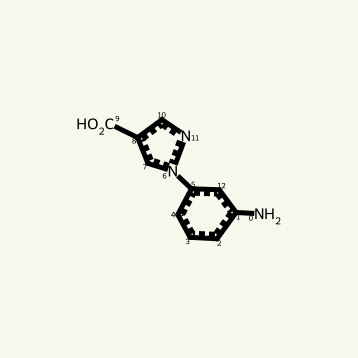 Nc1cccc(-n2cc(C(=O)O)cn2)c1